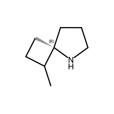 CC1CC[C@@]12CCCN2